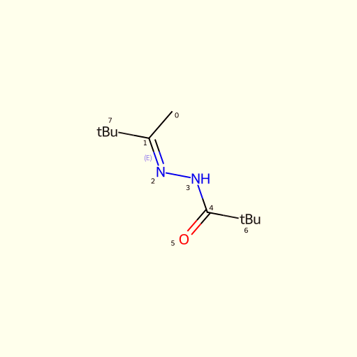 C/C(=N\NC(=O)C(C)(C)C)C(C)(C)C